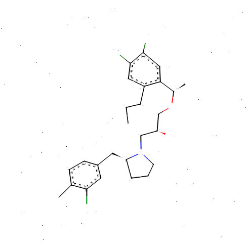 CC[C@@H](OC[C@@H](O)CN1CCC[C@H]1Cc1ccc(C)c(Cl)c1)c1cc(F)c(F)cc1CCC(=O)O